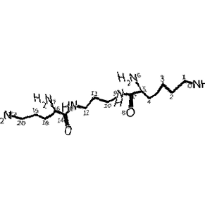 NCCCC[C@H](N)C(=O)NCCCNC(=O)[C@H](N)CCCN